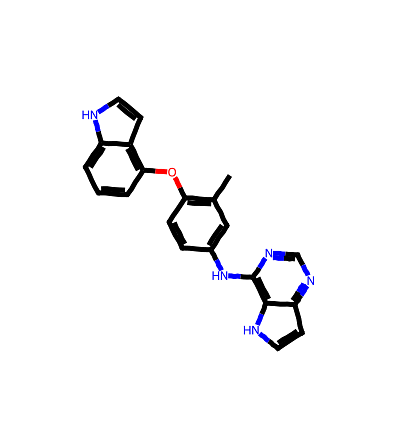 Cc1cc(Nc2ncnc3cc[nH]c23)ccc1Oc1cccc2[nH]ccc12